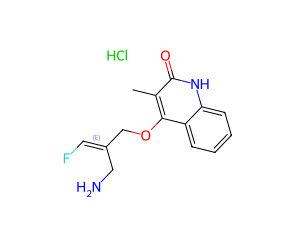 Cc1c(OC/C(=C/F)CN)c2ccccc2[nH]c1=O.Cl